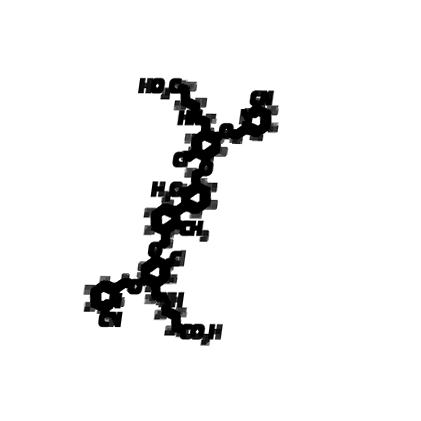 Cc1c(COc2cc(OCc3cccc(C#N)n3)c(CNCCCC(=O)O)cc2Cl)cccc1-c1cccc(COc2cc(OCc3cccc(C#N)n3)c(CNCCCC(=O)O)cc2Cl)c1C